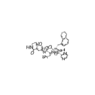 CC(C)C[C@H](NC(=O)[C@H](Cc1cccc2ccccc12)NC(=O)c1cnccn1)C(=O)N[C@H](CO)C[C@@H]1CCCNC1=O